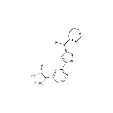 CC(C)C(c1ccccc1)n1cnc(-c2cc(-c3nn[nH]c3F)ccn2)c1